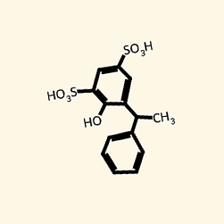 CC(c1ccccc1)c1cc(S(=O)(=O)O)cc(S(=O)(=O)O)c1O